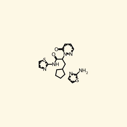 Nc1nccs1.O=C(Nc1nccs1)C(CC1CCCC1)n1ncccc1=O